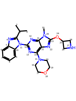 CC(C)c1nc2ccccc2n1-c1nc(N2CCOCC2)c2nc(OC3CNC3)n(C)c2n1